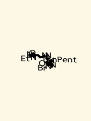 CCCCCn1c2ncn(Br)c2c(=O)n2c(CCc3nc(CC)no3)nnc12